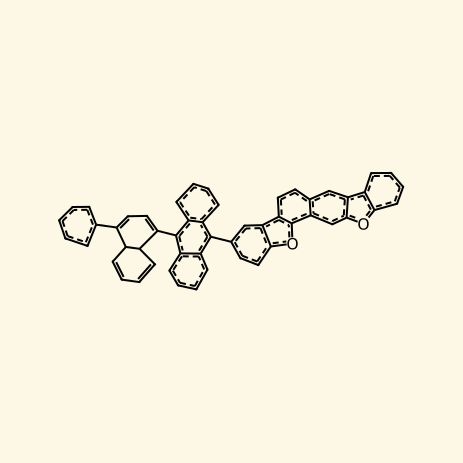 C1=CC2C(c3ccccc3)=CC=C(c3c4ccccc4c(-c4ccc5oc6c7cc8oc9ccccc9c8cc7ccc6c5c4)c4ccccc34)C2C=C1